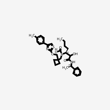 CCCC[C@@H](C(O)C(=O)N[C@H](C)c1ccccc1)N(CC1(COc2nc(-c3ccc(C)cc3)cs2)CCC1)C(=O)O